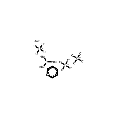 CCCCP(CCCC)CCCC.[Au+3].[O-][Cl+3]([O-])([O-])[O-].[O-][Cl+3]([O-])([O-])[O-].[O-][Cl+3]([O-])([O-])[O-].c1ccncc1